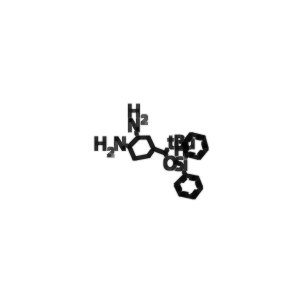 CC(C)(C)C(O[SiH](c1ccccc1)c1ccccc1)C1CC[C@@H](N)[C@@H](N)C1